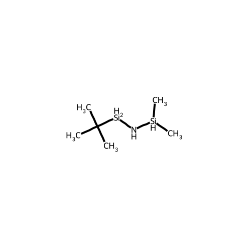 C[SiH](C)N[SiH2]C(C)(C)C